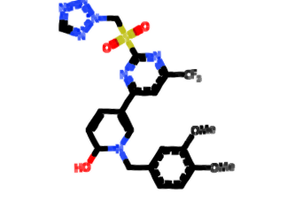 COc1ccc(CN2C=C(c3cc(C(F)(F)F)nc(S(=O)(=O)Cn4ncnn4)n3)C=CC2O)cc1OC